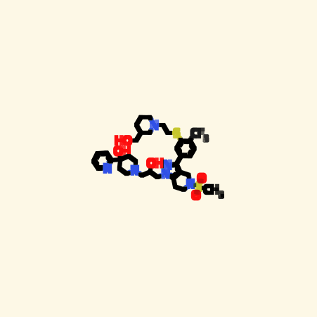 CS(=O)(=O)N1CCc2c(c(-c3ccc(C(F)(F)F)c(SCCN4CCCC(CO)C4)c3)nn2CC(O)CN2CCC(O)(c3ccccn3)CC2)C1